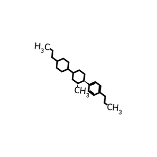 CCCc1ccc([C@@H]2CCC(C3CCC(CCC)CC3)C[C@H]2C)cc1